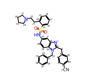 N#Cc1ccc(Cc2nc3cc(NS(=O)(=O)c4ccccc4CCN4CCCC4)ccc3n2Cc2ccccc2)cc1